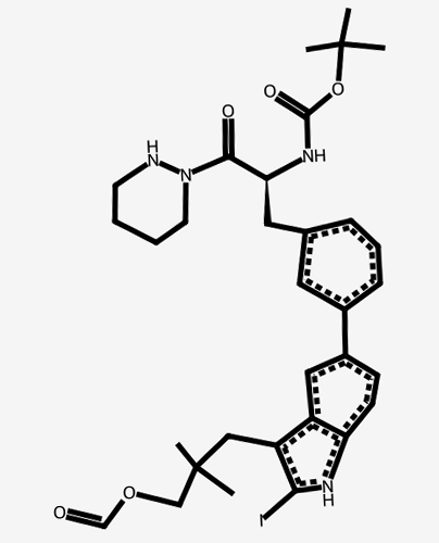 CC(C)(COC=O)Cc1c(I)[nH]c2ccc(-c3cccc(C[C@H](NC(=O)OC(C)(C)C)C(=O)N4CCCCN4)c3)cc12